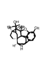 COC1[C@@H]2CC[C@@]3(C[C@@H]2C(C)(O)C(C)(C)C)[C@H]2Cc4ccc(O)c5c4[C@@]3(CCN2)[C@H]1O5